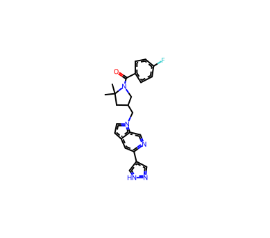 CC1(C)CC(Cn2ccc3cc(-c4cn[nH]c4)ncc32)CN1C(=O)c1ccc(F)cc1